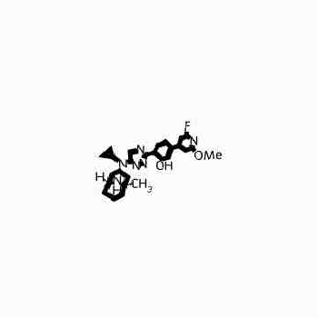 COc1cc(-c2ccc(-c3ncc(N(C4CC4)[C@H]4C[C@@H]5CCC[C@](C)(C4)N5)nn3)c(O)c2)cc(F)n1